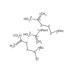 C=C(CCC(CC)CCCC)C(=O)O.C=C(CCCCC)C(=O)O.C=C(CCCCCCCCCCCCC)C(=O)O